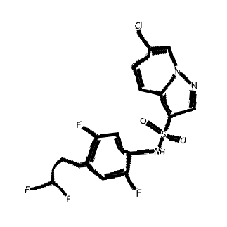 O=S(=O)(Nc1cc(F)c(CC(F)F)cc1F)c1cnn2cc(Cl)ccc12